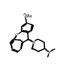 COc1ccc2c(c1)Oc1ccccc1C2N1CCC(N(C)C)CC1